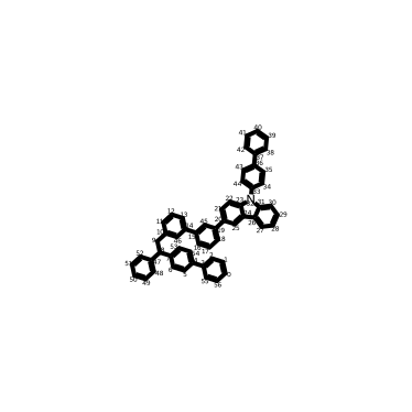 c1ccc(-c2ccc(C(Cc3cccc(-c4cccc(-c5ccc6c(c5)c5ccccc5n6-c5ccc(-c6ccccc6)cc5)c4)c3)c3ccccc3)cc2)cc1